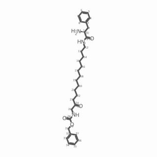 N[C@@H](Cc1ccccc1)C(=O)NCCCCCCCCCCCCC(=O)CNC(=O)OCc1ccccc1